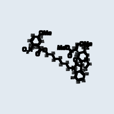 CC[C@H]1CN2CC[C@]3(C(=O)N(CCCCCCCOC(=O)c4cc(OC)ccc4[N+](=O)[O-])c4ccccc43)C2C[C@@H]1/C(=C\OC)C(=O)OC